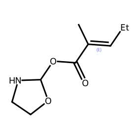 CC/C=C(\C)C(=O)OC1NCCO1